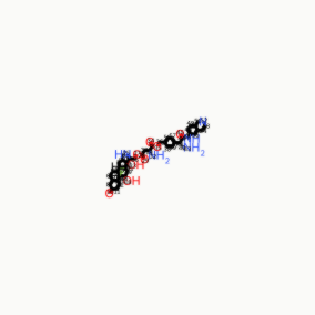 C[C@@H]1C[C@H]2[C@@H]3CCC4=CC(=O)C=C[C@]4(C)[C@@]3(F)[C@@H](O)C[C@]2(C)[C@@]1(O)C(=N)COC(=O)C[C@H](N)C(=O)OCc1ccc([C@@H](CN)C(=O)Nc2ccc3cnccc3c2)cc1